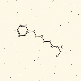 CC(C)[SiH2]OCCOCCc1ccccc1